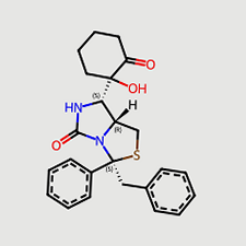 O=C1N[C@H](C2(O)CCCCC2=O)[C@@H]2CS[C@@](Cc3ccccc3)(c3ccccc3)N12